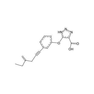 C=C(CC)CC#Cc1cccc(Oc2[nH]nnc2C(=O)O)c1